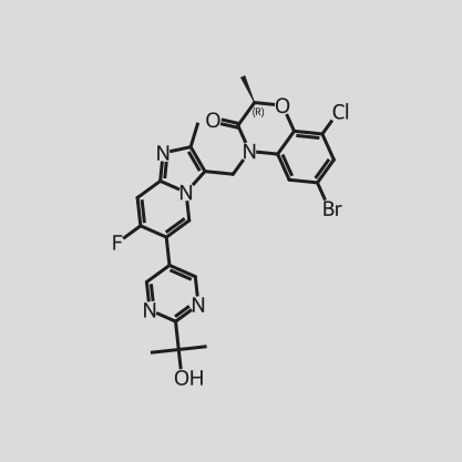 Cc1nc2cc(F)c(-c3cnc(C(C)(C)O)nc3)cn2c1CN1C(=O)[C@@H](C)Oc2c(Cl)cc(Br)cc21